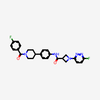 O=C(Nc1ccc(C2CCN(C(=O)c3ccc(F)cc3)CC2)cc1)C1CN(c2ccc(F)nn2)C1